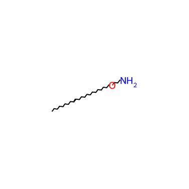 CCCCCCCCC=CCCCCCCCCCCCCOCCCN